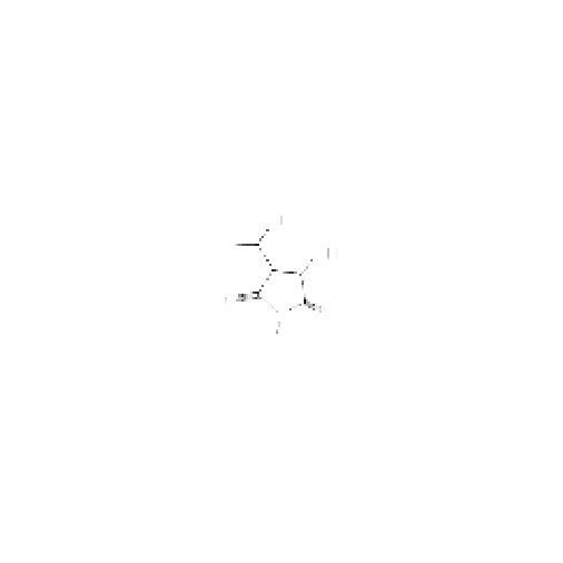 CCCC(CC)C1C(=O)N(I)C(=O)C1C